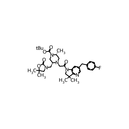 C[C@@H]1CN(CC(=O)N2CC(C)(C)c3ncc(Cc4ccc(F)cc4)cc32)[C@@H](CN2CC(C)(C)OC2=O)CN1C(=O)OC(C)(C)C